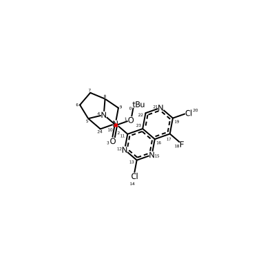 CC(C)(C)OC(=O)N1C2CCC1CN(c1nc(Cl)nc3c(F)c(Cl)ncc13)C2